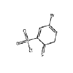 O=S(=O)(Cl)C1=CC(Br)=CCC1=S